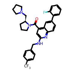 O=C(c1cc(NCc2ccc(C(F)(F)F)cc2)nc2ccc(-c3ccccc3F)cc12)N1CCC[C@H]1CN1CCCC1